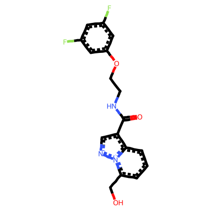 O=C(NCCOc1cc(F)cc(F)c1)c1cnn2c(CO)cccc12